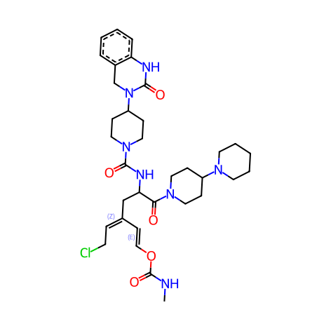 CNC(=O)O/C=C/C(=C\CCl)CC(NC(=O)N1CCC(N2Cc3ccccc3NC2=O)CC1)C(=O)N1CCC(N2CCCCC2)CC1